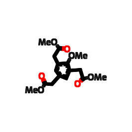 COC(=O)Cc1cc(CC(=O)OC)c(OC)c(CC(=O)OC)c1